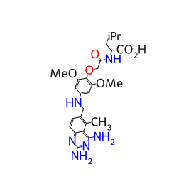 COc1cc(NCc2ccc3nc(N)nc(N)c3c2C)cc(OC)c1OCC(=O)N[C@H](CC(C)C)C(=O)O